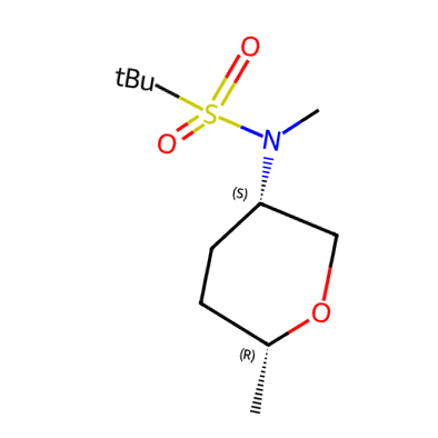 C[C@@H]1CC[C@H](N(C)S(=O)(=O)C(C)(C)C)CO1